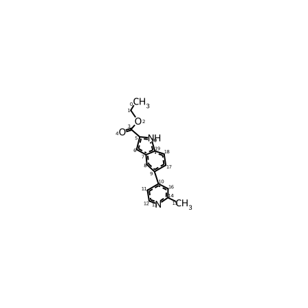 CCOC(=O)c1cc2cc(-c3ccnc(C)c3)ccc2[nH]1